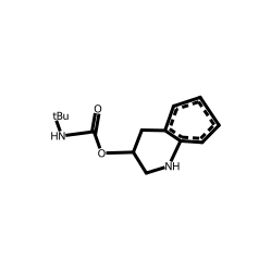 CC(C)(C)NC(=O)OC1CNc2ccccc2C1